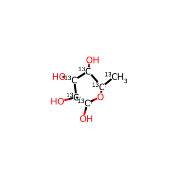 [13CH3][13C]1O[13C](O)[13C](O)[13CH](O)[13CH]1O